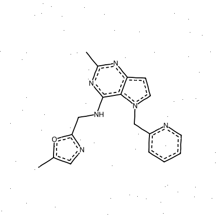 Cc1nc(NCc2ncc(C)o2)c2c(ccn2Cc2ccccn2)n1